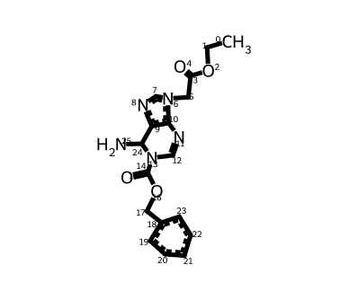 CCOC(=O)Cn1cnc2c1N=CN(C(=O)OCc1ccccc1)C2N